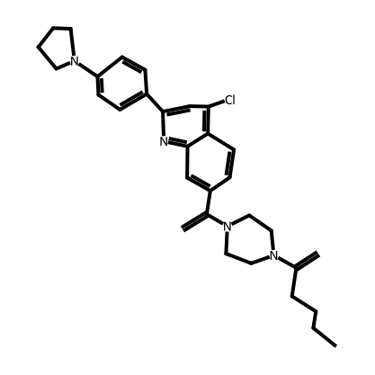 C=C(CCCC)N1CCN(C(=C)c2ccc3c(Cl)cc(-c4ccc(N5CCCC5)cc4)nc3c2)CC1